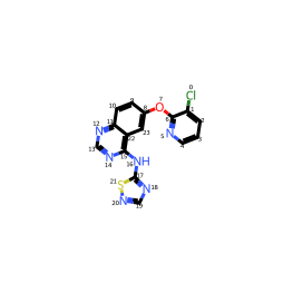 Clc1cccnc1Oc1ccc2ncnc(Nc3ncns3)c2c1